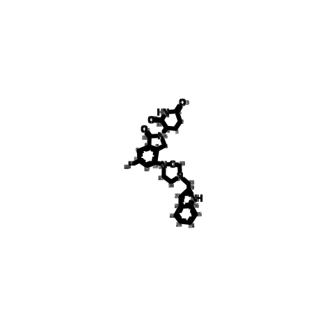 O=C1CCC(N2Cc3c(cc(F)cc3N3CCN(Cc4cc5ccccc5[nH]4)CC3)C2=O)C(=O)N1